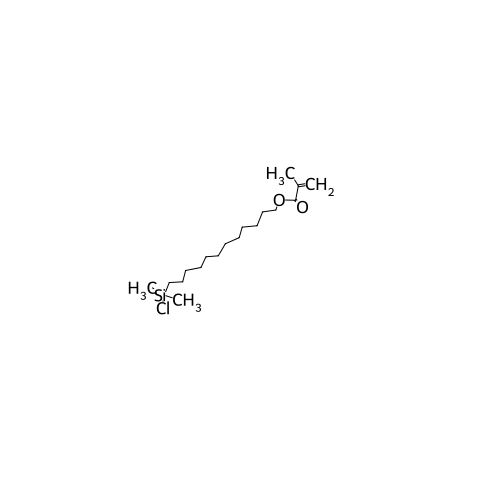 C=C(C)C(=O)OCCCCCCCCCCCC[Si](C)(C)Cl